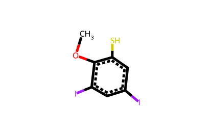 COc1c(S)cc(I)cc1I